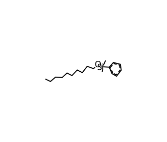 CCCCCCCCCCO[Si](C)(C)c1ccccc1